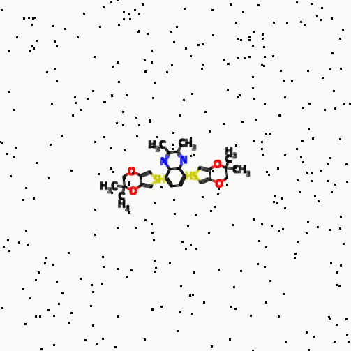 CC1=NC2C([SH]3C=C4OCC(C)(C)OC4=C3)=CC=C([SH]3C=C4OCC(C)(C)OC4=C3)C2N=C1C